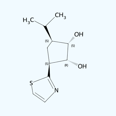 CC(C)[C@@H]1C[C@H](c2nccs2)[C@@H](O)[C@H]1O